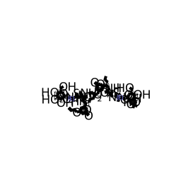 C=CCOc1cc([C@@H](CCCC(C=C)Oc2cc([C@@H](CCC)NC(=O)[C@]3(C)CSC(/C(C)=N/O[C@H]4O[C@H](CO)[C@@H](O)[C@@H]5OC(C)(C)O[C@H]45)=N3)oc(=O)c2)NC(=O)[C@]2(N)CSC(/C(C)=N/O[C@H]3O[C@H](CO)[C@@H](O)[C@H](O)[C@@H]3O)=N2)oc(=O)c1